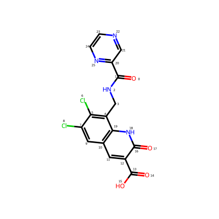 O=C(NCc1c(Cl)c(Cl)cc2cc(C(=O)O)c(=O)[nH]c12)c1cnccn1